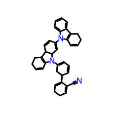 N#CC1=CCCC=C1C1C=CC=C(N2C3=C(CCC=C3)C3C=CC(n4c5c(c6ccccc64)CCC=C5)=CC32)C1